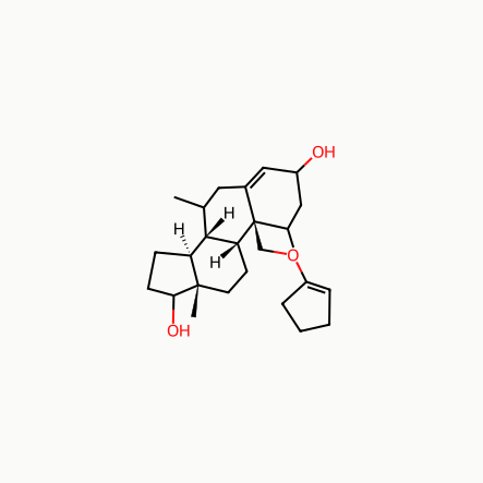 CC1CC2=CC(O)CC(C)[C@]2(COC2=CCCC2)[C@@H]2CC[C@]3(C)C(O)CC[C@H]3[C@H]12